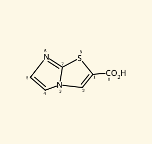 O=C(O)c1cn2ccnc2s1